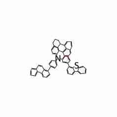 c1cc(-c2cccc3c2sc2ccccc23)cc(N(c2ccc(-c3cccc4c3ccc3ccccc34)cc2)c2ccccc2-c2cccc3cccc(C4CCCCC4)c23)c1